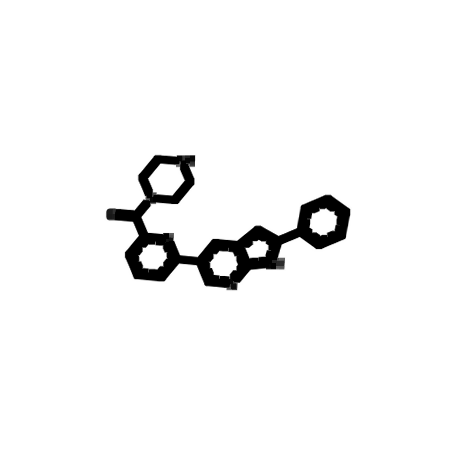 O=C(c1cccc(-c2cnc3[nH]c(-c4ccccc4)cc3c2)n1)N1CCNCC1